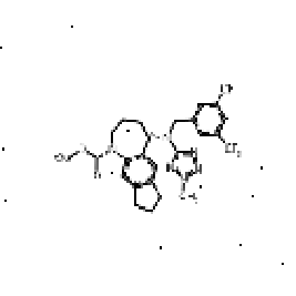 Cn1nnc(N(Cc2cc(C(F)(F)F)cc(C(F)(F)F)c2)[C@H]2CCCN(C(=O)OC(C)(C)C)c3cc4c(cc32)CCC4)n1